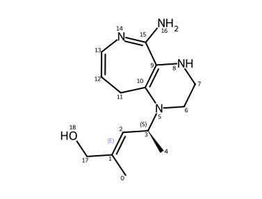 C/C(=C\[C@H](C)N1CCNC2=C1CC=CN=C2N)CO